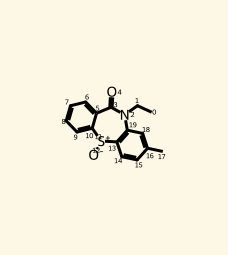 CCN1C(=O)c2ccccc2[S@+]([O-])c2ccc(C)cc21